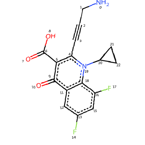 NCC#Cc1c(C(=O)O)c(=O)c2cc(F)cc(F)c2n1C1CC1